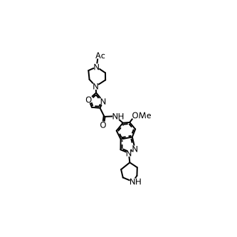 COc1cc2nn(C3CCNCC3)cc2cc1NC(=O)c1coc(N2CCN(C(C)=O)CC2)n1